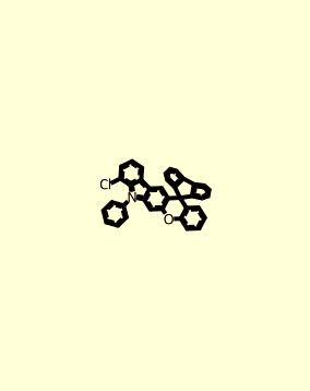 Clc1cccc2c3cc4c(cc3n(-c3ccccc3)c12)Oc1ccccc1C41c2ccccc2-c2ccccc21